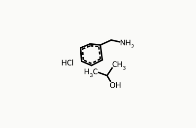 CC(C)O.Cl.NCc1ccccc1